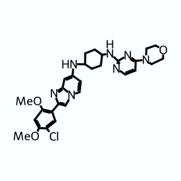 COc1cc(OC)c(-c2cn3ccc(NC4CCC(Nc5nccc(N6CCOCC6)n5)CC4)cc3n2)cc1Cl